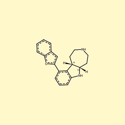 c1cc2c(c(-c3cc4ccccc4o3)c1)[C@@H]1CCNCC[C@@H]1N2